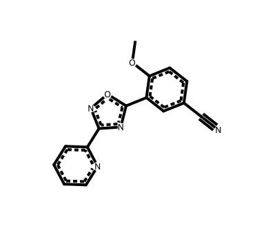 COc1ccc(C#N)cc1-c1nc(-c2ccccn2)no1